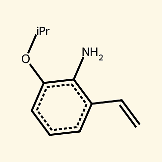 C=Cc1cccc(OC(C)C)c1N